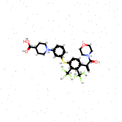 C=C(C(=O)N1CCOCC1)c1ccc(Sc2cccc(N3CCC(C(=O)O)CC3)c2)c(C(F)(F)F)c1C(F)(F)F